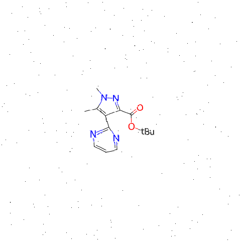 Cc1c(-c2ncccn2)c(C(=O)OC(C)(C)C)nn1C